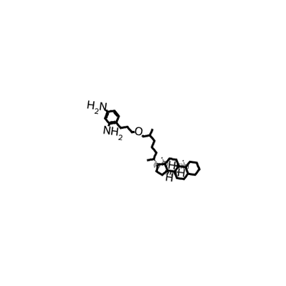 CC(CCCC(C)[C@H]1CC[C@H]2[C@@H]3CCC4CCCC[C@]4(C)[C@H]3CC[C@]12C)COCCCc1ccc(N)cc1N